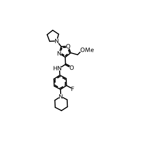 COCc1oc(N2CCCC2)nc1C(=O)Nc1ccc(N2CCCCC2)c(F)c1